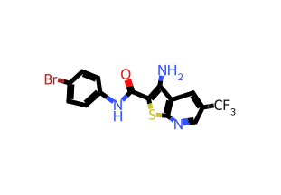 Nc1c(C(=O)Nc2ccc(Br)cc2)sc2ncc(C(F)(F)F)cc12